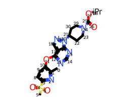 Cc1nc(S(C)(=O)=O)ccc1Oc1ncnc2c1cnn2C1CCN(C(=O)OC(C)C)CC1